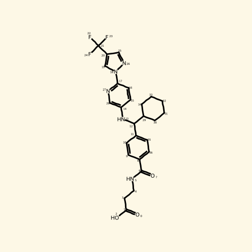 O=C(O)CCNC(=O)c1ccc(C(Nc2ccc(-n3cc(C(F)(F)F)cn3)nc2)C2CCCCC2)cc1